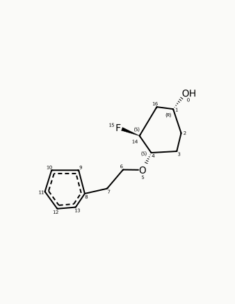 O[C@@H]1CC[C@H](OCCc2ccccc2)[C@@H](F)C1